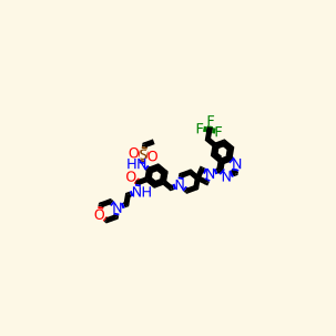 CCS(=O)(=O)Nc1ccc(CN2CCC3(CC2)CN(c2ncnc4ccc(CC(F)(F)F)cc24)C3)cc1C(=O)NCCN1CCOCC1